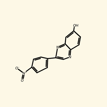 O=[N+]([O-])c1ccc(-c2cnc3ccc(O)cc3n2)cc1